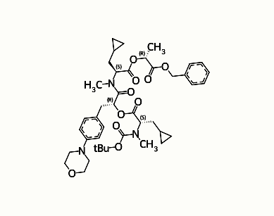 C[C@@H](OC(=O)[C@H](CC1CC1)N(C)C(=O)[C@@H](Cc1ccc(N2CCOCC2)cc1)OC(=O)[C@H](CC1CC1)N(C)C(=O)OC(C)(C)C)C(=O)OCc1ccccc1